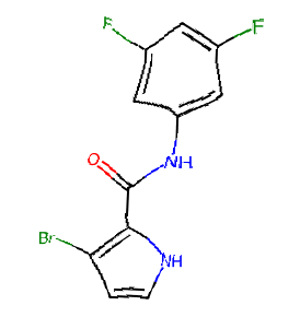 O=C(Nc1cc(F)cc(F)c1)c1[nH]ccc1Br